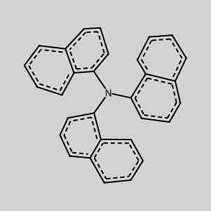 c1ccc2c(N(c3cccc4ccccc34)c3cccc4ccccc34)cccc2c1